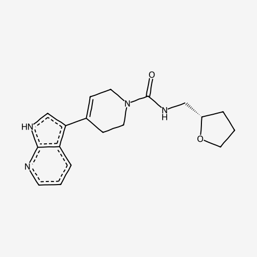 O=C(NC[C@@H]1CCCO1)N1CC=C(c2c[nH]c3ncccc23)CC1